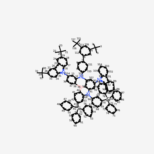 CC(C)(C)c1cc(-c2ccc(N3c4cc(-n5c6ccc(C(C)(C)C)cc6c6cc(C(C)(C)C)ccc65)ccc4B4c5ccc([Si](c6ccccc6)(c6ccccc6)c6ccccc6)cc5N(c5cccc([Si](c6ccccc6)(c6ccccc6)c6ccccc6)c5)c5cc(-n6c7ccccc7c7ccccc76)cc3c54)cc2)cc(C(C)(C)C)c1